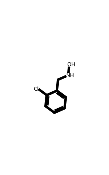 ONCc1ccccc1Cl